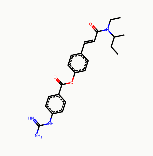 CCC(C)N(CC)C(=O)C=Cc1ccc(OC(=O)c2ccc(NC(=N)N)cc2)cc1